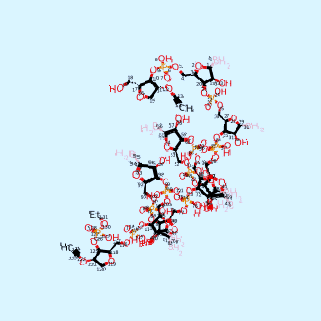 B[C@@H]1O[C@H](COP(=O)(O)OC2[C@H](OC#C)CO[C@@H]2CO)C(OP(=O)(O)OC[C@H]2O[C@@H](B)[C@@H](O)C2OP(=O)(O)OC[C@H]2O[C@@H](B)[C@@H](O)C2OP(=O)(O)OC[C@H]2O[C@@H](B)[C@@H](O)C2OP(=O)(O)OC[C@H]2O[C@@H](B)[C@@H](O)C2OP(=O)(O)OC[C@H]2O[C@@H](B)[C@@H](O)C2OP(=O)(O)OC[C@H]2O[C@@H](B)[C@@H](O)C2OP(=O)(O)OC[C@H]2O[C@@H](B)[C@@H](O)C2OP(=O)(O)OC[C@H]2OC[C@@H](OC#C)C2OP(=O)(O)OCC)[C@@H]1O